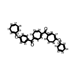 O=C(C1=CC=C(C(=O)c2ccc(OC3=CCC=CC=C3)cc2)CC=C1)C1=CC=C(Oc2ccccc2)CCC1